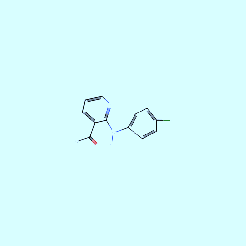 NN(c1ccc(Cl)cc1)c1ncccc1C(=O)N=O